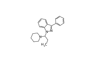 CCC(N1CCCCC1)n1nc(-c2ccccc2)c2ccccc21